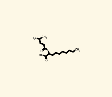 CCCCCCCCC(OC(=O)CCC(C)C)C(=O)O